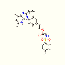 CNc1nc2c(C)cc(C)nc2n1-c1ccc(CCOC(=O)NS(=O)(=O)c2ccc(C)cc2)cc1